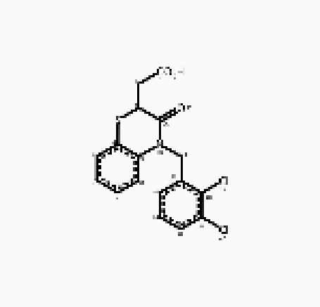 O=C(O)CC1Sc2ccccc2N(Cc2cccc(Cl)c2Cl)C1=O